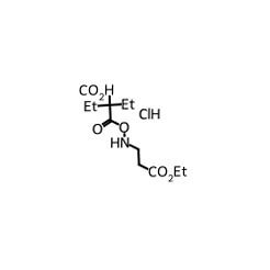 CCOC(=O)CCNOC(=O)C(CC)(CC)C(=O)O.Cl